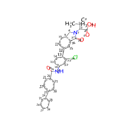 CC(C)C(C(=O)O)N1Cc2ccc(-c3ccc(NC(=O)c4ccc(-c5ccccc5)cc4)cc3Cl)cc2C1=O